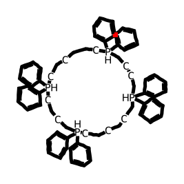 c1ccc([PH]2(c3ccccc3)CCCCCC[PH](c3ccccc3)(c3ccccc3)CCCC[PH](c3ccccc3)(c3ccccc3)CCCCCC[PH](c3ccccc3)(c3ccccc3)CCCC2)cc1